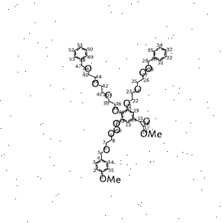 COc1ccc(COCCOOOc2cc(C3OC3OC)cc(OCCOCCOOCc3ccccc3)c2OCCOCCOCCOCc2ccccc2)cc1